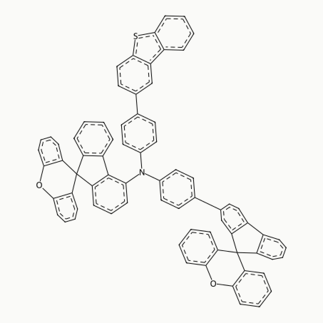 c1ccc2c(c1)Oc1ccccc1C21c2ccccc2-c2ccc(-c3ccc(N(c4ccc(-c5ccc6sc7ccccc7c6c5)cc4)c4cccc5c4-c4ccccc4C54c5ccccc5Oc5ccccc54)cc3)cc21